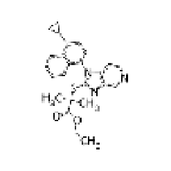 CCOC(=O)C(C)(C)Sc1nc2cnccc2n1-c1ccc(C2CC2)c2ccccc12